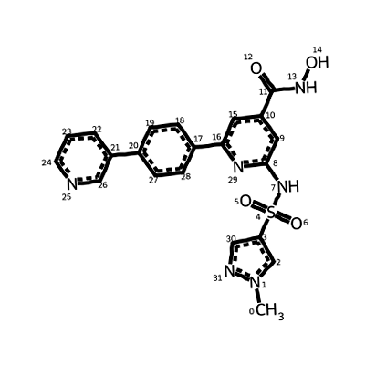 Cn1cc(S(=O)(=O)Nc2cc(C(=O)NO)cc(-c3ccc(-c4cccnc4)cc3)n2)cn1